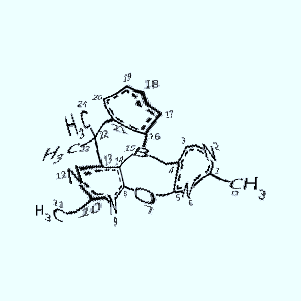 Cc1ncc2c(n1)Oc1nc(C)nc3c1B2c1ccccc1C3(C)C